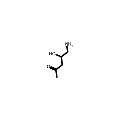 CC(=O)CC(O)CN